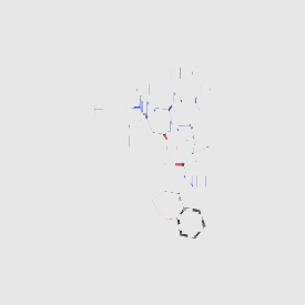 COCC[C@H]([C@@H]1C[C@H]1C(=O)N[C@H]1CCOc2ccccc21)N1C(=N)N[C@](C)(C(C)C)CC1=O